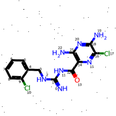 N=C(NCc1ccccc1Cl)NC(=O)c1nc(Cl)c(N)nc1N